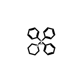 c1ccc([PH](c2ccccc2)(c2ccccc2)N2CCCCC2)cc1